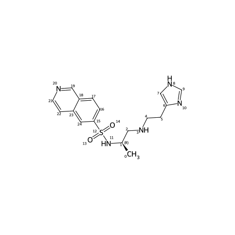 C[C@H](CNCCc1c[nH]cn1)NS(=O)(=O)c1ccc2cnccc2c1